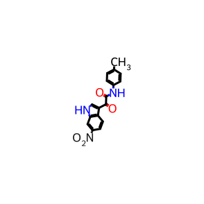 Cc1ccc(NC(=O)C(=O)c2c[nH]c3cc([N+](=O)[O-])ccc23)cc1